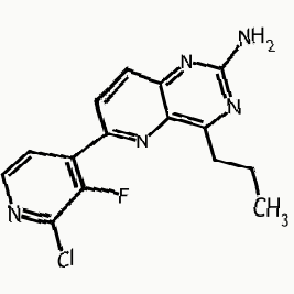 CCCc1nc(N)nc2ccc(-c3ccnc(Cl)c3F)nc12